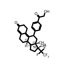 C[C@]12CC(c3ccc(C(=O)CO)cc3)C3=C4CCC(=O)C=C4CC[C@H]3[C@@H]1CC[C@@]2(O)C(F)(F)C(F)(F)F